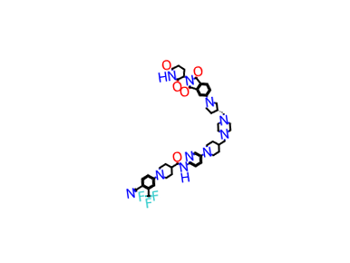 N#Cc1ccc(N2CCC(C(=O)Nc3ccc(N4CCC(CN5CCN(C[C@@H]6CCN(c7ccc8c(c7)C(=O)N(C7CCC(=O)NC7=O)C8=O)C6)CC5)CC4)cn3)CC2)cc1C(F)(F)F